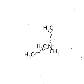 CCCCCCCC[N+](CC)(CC)CCCCCCCC